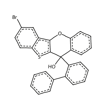 OC1(c2ccccc2-c2ccccc2)c2ccccc2Oc2c1sc1ccc(Br)cc21